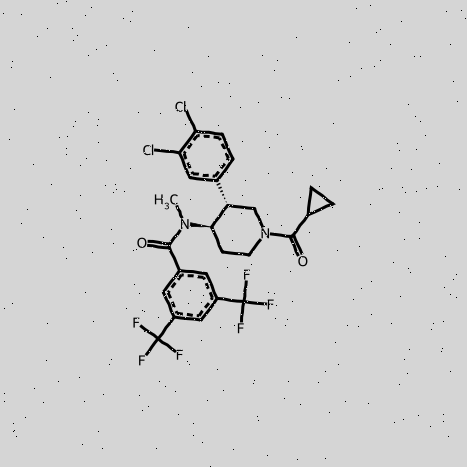 CN(C(=O)c1cc(C(F)(F)F)cc(C(F)(F)F)c1)[C@@H]1CCN(C(=O)C2CC2)C[C@H]1c1ccc(Cl)c(Cl)c1